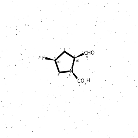 O=C[C@@H]1C[C@H](F)CN1C(=O)O